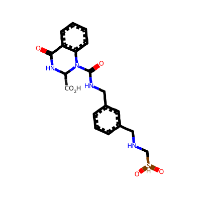 O=C1NC(C(=O)O)N(C(=O)NCc2cccc(CNC[SH](=O)=O)c2)c2ccccc21